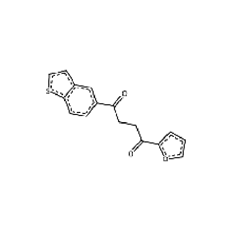 O=C(CCC(=O)c1ccco1)c1ccc2sccc2c1